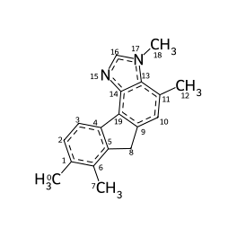 Cc1ccc2c(c1C)Cc1cc(C)c3c(ncn3C)c1-2